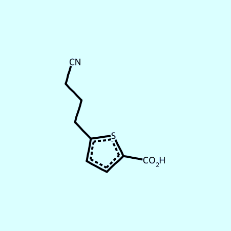 N#CCCCc1ccc(C(=O)O)s1